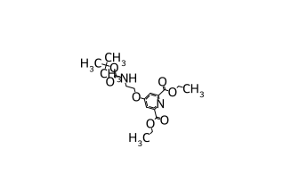 CCOC(=O)c1cc(OCCNC(=O)OC(C)(C)C)cc(C(=O)OCC)n1